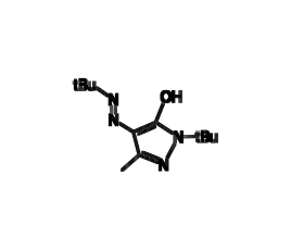 Cc1nn(C(C)(C)C)c(O)c1/N=N/C(C)(C)C